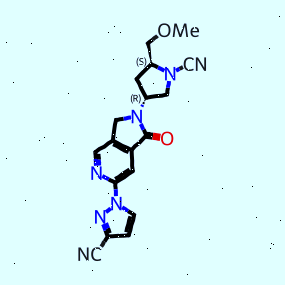 COC[C@@H]1C[C@@H](N2Cc3cnc(-n4ccc(C#N)n4)cc3C2=O)CN1C#N